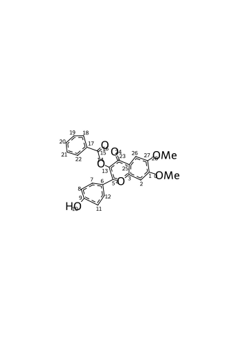 COc1cc2oc(-c3ccc(O)cc3)c(OC(=O)c3ccccc3)c(=O)c2cc1OC